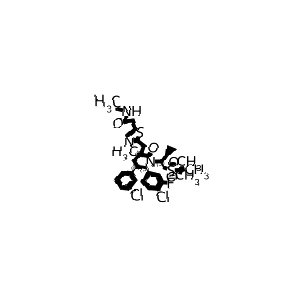 CCNC(=O)Cc1cnc(C[C@@]2(C)C[C@H](c3cccc(Cl)c3)[C@@H](c3ccc(Cl)c(F)c3)N([C@H](CS(=O)(=O)C(C)(C)C)C3CC3)C2=O)s1